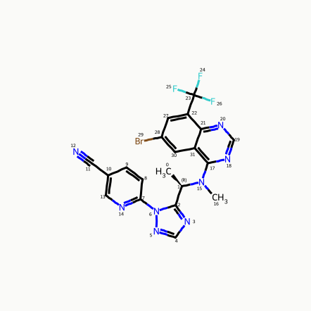 C[C@H](c1ncnn1-c1ccc(C#N)cn1)N(C)c1ncnc2c(C(F)(F)F)cc(Br)cc12